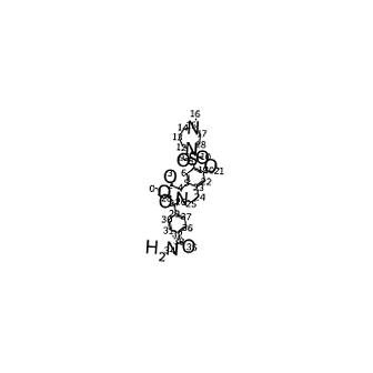 COC(=O)C1c2cc(S(=O)(=O)N3CCCN(C)CC3)c(OC)cc2CCN1C(=O)c1ccc(C(N)=O)cc1